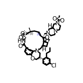 CCCc1cc(Cl)ccc1[C@@H]1COc2ccc3cc2N(C1)C[C@@H]1CC[C@H]1[C@](CN1CCN2CCN(S(C)(=O)=O)C[C@@H]2C1)(OC)/C=C/C[C@H](C)[C@@H](C)S(=O)(=O)NC3=O